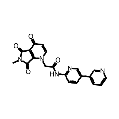 CN1C(=O)c2c(n(CC(=O)Nc3ccc(-c4cccnc4)cn3)ccc2=O)C1=O